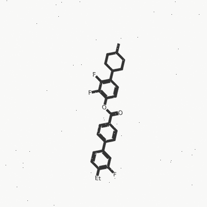 CCc1ccc(-c2ccc(C(=O)Oc3ccc(C4CCC(C)CC4)c(F)c3F)cc2)cc1F